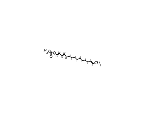 CC=CCCCCCCCCCC=CC=COC(C)=O